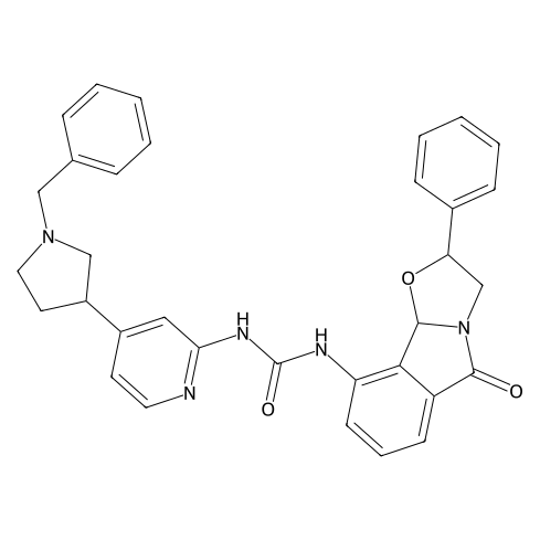 O=C(Nc1cc(C2CCN(Cc3ccccc3)C2)ccn1)Nc1cccc2c1C1OC(c3ccccc3)CN1C2=O